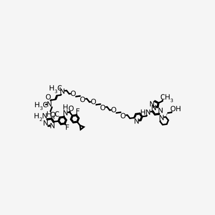 CCc1cnn2c(NCc3ccc(CCOCCOCCOCCOCCOCCOCCN(C)C/C=C/C(=O)N(C)CCOc4c(N)ncnc4-c4cc(F)cc(NC(=O)c5ccc(C6CC6)cc5F)c4C)nc3)cc(N3CCCC[C@H]3CCO)nc12